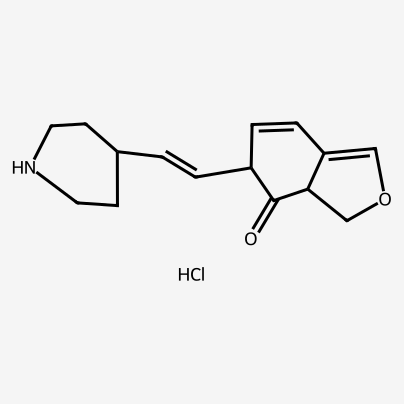 Cl.O=C1C(/C=C/C2CCNCC2)C=CC2=COCC12